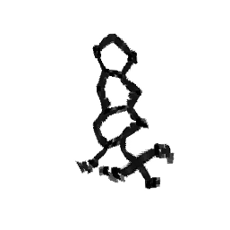 CC(C)(O)c1nc2cc3c(cc2cc1N)OCO3